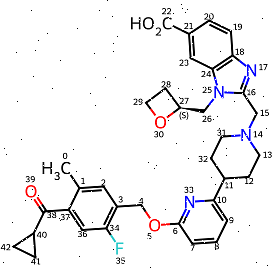 Cc1cc(COc2cccc(C3CCN(Cc4nc5ccc(C(=O)O)cc5n4C[C@@H]4CCO4)CC3)n2)c(F)cc1C(=O)C1CC1